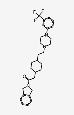 O=C(CC1CCC(CCN2CCN(c3cccc(C(F)(F)F)c3)CC2)CC1)N1Cc2ccccc2C1